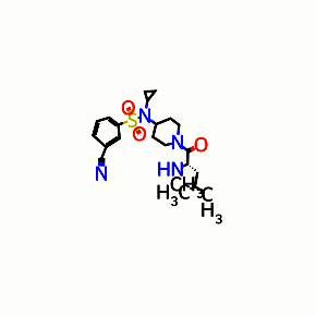 CN[C@@H](CC(C)C)C(=O)N1CCC(N(C2CC2)S(=O)(=O)c2cccc(C#N)c2)CC1